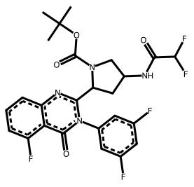 CC(C)(C)OC(=O)N1CC(NC(=O)C(F)F)CC1c1nc2cccc(F)c2c(=O)n1-c1cc(F)cc(F)c1